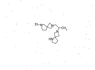 CCN1CCC2(C1)CN(CC(C)N1CC3(CCCN3)C1)C2